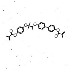 C=C(C)C(=O)Oc1ccc(OC(C)(C)C(C)Oc2ccc(-c3ccc(OC(=O)C(=C)C)cc3)cc2)cc1